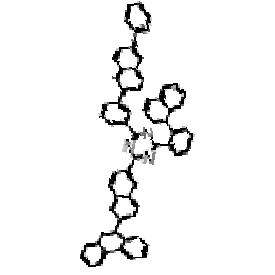 c1ccc(-c2ccc3cc(-c4cccc(-c5nc(-c6ccc7cc(-c8cc9ccccc9c9ccccc89)ccc7c6)nc(-c6ccccc6-c6cccc7ccccc67)n5)c4)ccc3c2)cc1